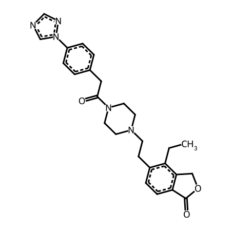 CCc1c(CCN2CCN(C(=O)Cc3ccc(-n4cncn4)cc3)CC2)ccc2c1COC2=O